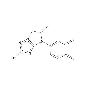 C=C/C=C\C(=C/C=C)N1c2nc(Br)nn2CC1C